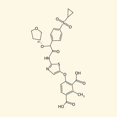 Cc1c(C(=O)O)ccc(Oc2cnc(NC(=O)C(O[C@@H]3CCOC3)c3ccc(S(=O)(=O)C4CC4)cc3)s2)c1C(=O)O